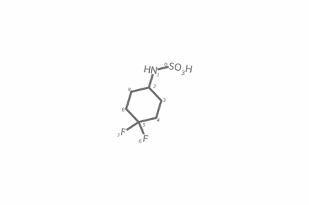 O=S(=O)(O)NC1CCC(F)(F)CC1